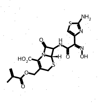 C=C(C)C(=O)OCC1=C(C(=O)O)N2C(=O)C(NC(=O)/C(=N\O)c3csc(N)n3)[C@@H]2SC1